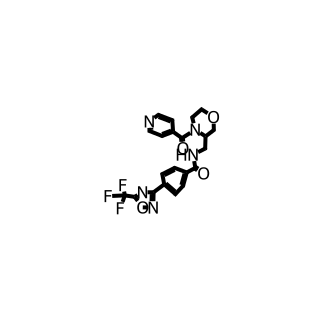 O=C(NCC1COCCN1C(=O)c1ccncc1)c1ccc(-c2noc(C(F)(F)F)n2)cc1